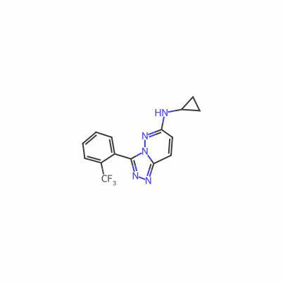 FC(F)(F)c1ccccc1-c1nnc2ccc(NC3CC3)nn12